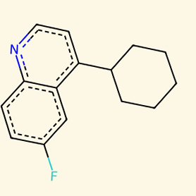 Fc1ccc2nccc(C3CCCCC3)c2c1